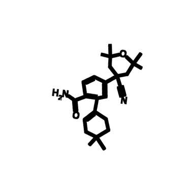 CC1(C)CC=C(c2cc(C3(C#N)CC(C)(C)OC(C)(C)C3)ccc2C(N)=O)CC1